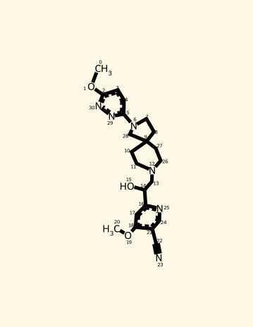 COc1ccc(N2CCC3(CCN(CC(O)c4cc(OC)c(C#N)cn4)CC3)C2)nn1